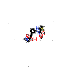 CCOC(=O)c1nc(-c2cccc(C#C[C@]3(O)CCN(C)C3=O)c2)nc2ccsc12